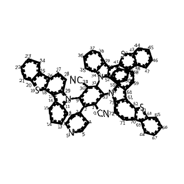 N#Cc1c(-c2ccncc2)c(-n2c3ccccc3c3c4sc5ccccc5c4ccc32)c(C#N)c(-n2c3ccccc3c3c4sc5ccccc5c4ccc32)c1-n1c2ccccc2c2c3sc4ccccc4c3ccc21